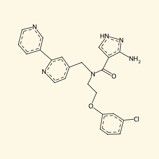 Nc1n[nH]cc1C(=O)N(CCOc1cccc(Cl)c1)Cc1ccnc(-c2cccnc2)c1